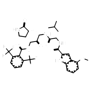 COc1cccc2[nH]c(C(=O)N[C@@H](CC(C)C)C(=O)N[C@@H](C[C@@H]3CCNC3=O)C(=O)COC(=O)c3c(C(F)(F)F)cccc3C(F)(F)F)cc12